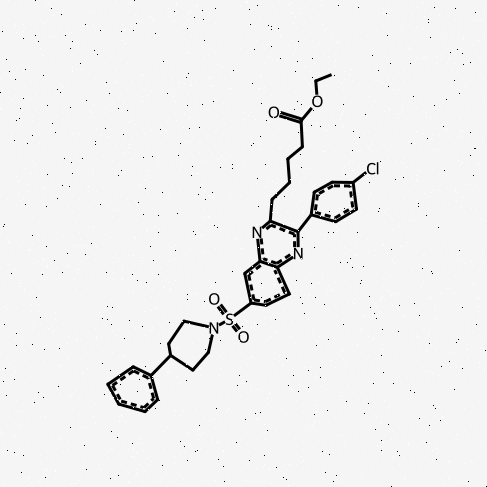 CCOC(=O)CCCCc1nc2cc(S(=O)(=O)N3CCC(c4ccccc4)CC3)ccc2nc1-c1ccc(Cl)cc1